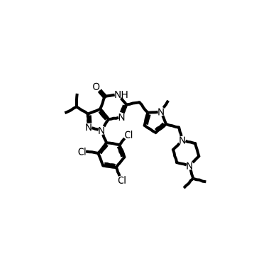 CC(C)c1nn(-c2c(Cl)cc(Cl)cc2Cl)c2nc(Cc3ccc(CN4CCN(C(C)C)CC4)n3C)[nH]c(=O)c12